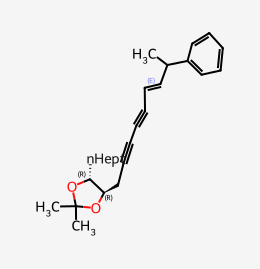 CCCCCCC[C@H]1OC(C)(C)O[C@@H]1CC#CC#C/C=C/C(C)c1ccccc1